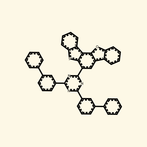 c1ccc(-c2cccc(-c3nc(-c4cccc(-c5ccccc5)c4)nc(-c4cc5c6ccccc6oc5c5c4sc4ccccc45)n3)c2)cc1